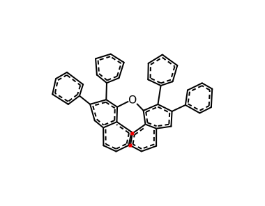 c1ccc(-c2cc3ccccc3c(Oc3c(-c4ccccc4)c(-c4ccccc4)cc4ccccc34)c2-c2ccccc2)cc1